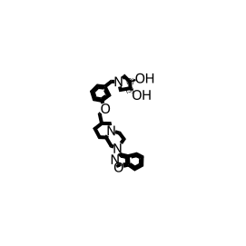 O[C@@H]1CN(Cc2cccc(OCC3CCC4CN(c5noc6ccccc56)CCN4C3)c2)C[C@@H]1O